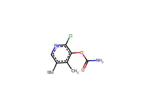 Cc1c(C(C)(C)C)cnc(Cl)c1OC(N)=O